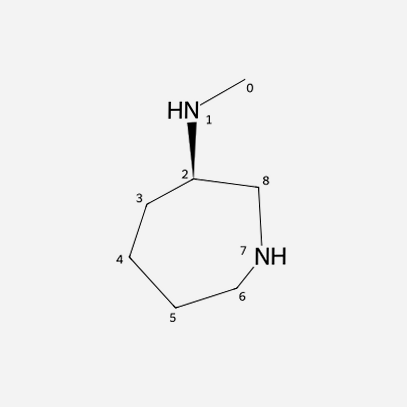 CN[C@@H]1CCCCNC1